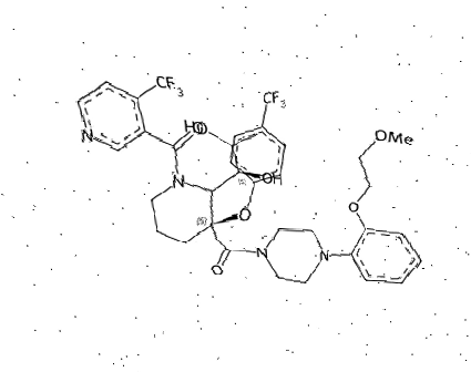 COCCOc1ccccc1N1CCN(C(=O)[C@]2(Oc3ccc(C(F)(F)F)cc3)CCCN(C(=O)c3cnccc3C(F)(F)F)C2[C@H](O)C(C)O)CC1